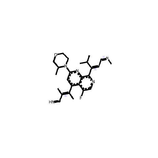 C/N=C\C=C(\c1ncc(F)c2c(/C(C)=C(\C)C=N)cc(N3CCOCC3C)nc12)C(C)C